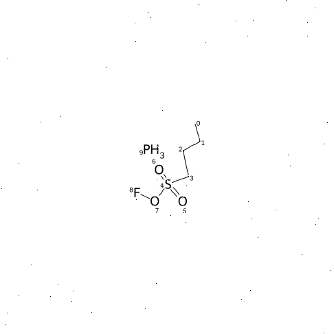 CCCCS(=O)(=O)OF.P